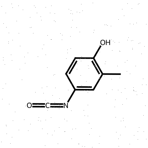 Cc1cc(N=C=O)ccc1O